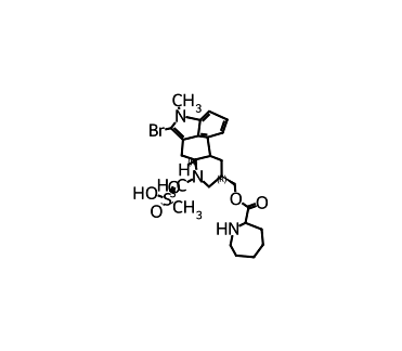 CN1C[C@H](COC(=O)C2CCCCCN2)CC2c3cccc4c3c(c(Br)n4C)C[C@H]21.CS(=O)(=O)O